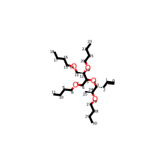 C=CC[C@@H](OC(COCCCC)[C@@H](COCCCC)OCCCC)[C@H](C)OCCCC